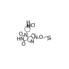 C[Si](C)(C)CCOCn1ccc2c1ncc1c(=O)[nH]c(=O)n(C3CCNCC3)c12.Cl